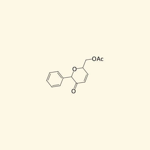 CC(=O)OCC1C=CC(=O)C(c2ccccc2)O1